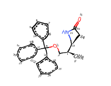 CO[C@@H](COC(c1ccccc1)(c1ccccc1)c1ccccc1)[C@@H]1CC(=O)N1